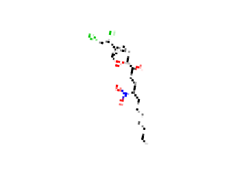 [CH2]CCCCCCC(CCC(=O)[C]1OC2CCC1CC2C(Cl)CCl)[N+](=O)[O-]